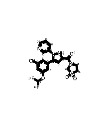 O=C(C1C=C(c2cc(Cl)cc(OC(F)F)c2)N(c2cccnc2)N1)N1CCS(=O)(=O)C1